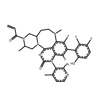 C=CC(=O)N1CC2CCN(C)c3c(F)c(-c4c(O)ccc(F)c4F)c(F)c4c3c(nc(=O)n4-c3c(C)ccnc3C(C)C)N2CC1C